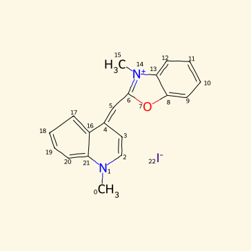 CN1C=CC(=Cc2oc3ccccc3[n+]2C)c2ccccc21.[I-]